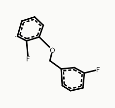 Fc1cccc(COc2ccc[c]c2F)c1